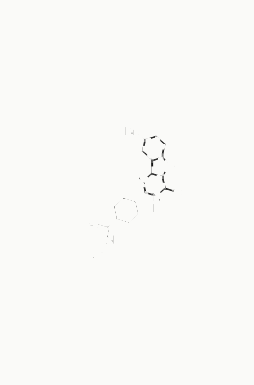 CC(C)(C)C(NC(=O)O)[C@H]1CC[C@H](c2nc3c(oc4ccc(Br)cc43)c(=O)[nH]2)CC1